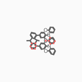 CC12c3ccccc3C(C)(c3c(-c4cc5c6c(c4)Oc4ccccc4B6c4ccccc4O5)cccc31)c1c(-c3cc4c5c(c3)Oc3ccccc3N5c3ccccc3O4)cccc12